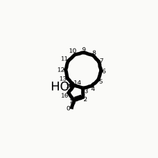 CC1=CC2CCCCCCCCCCC2(O)C1